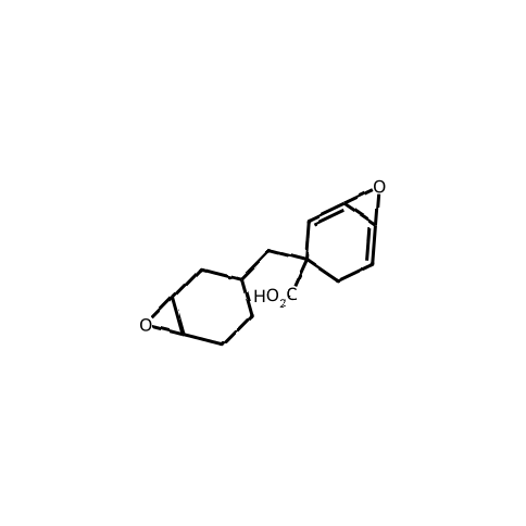 O=C(O)C1(CC2CCC3OC3C2)C=C2OC2=CC1